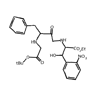 CCOC(=O)C(NCC(=O)C(Cc1ccccc1)NCC(=O)OC(C)(C)C)C(O)c1ccccc1[N+](=O)[O-]